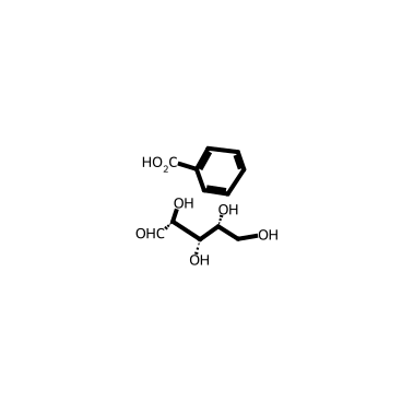 O=C(O)c1ccccc1.O=C[C@H](O)[C@@H](O)[C@H](O)CO